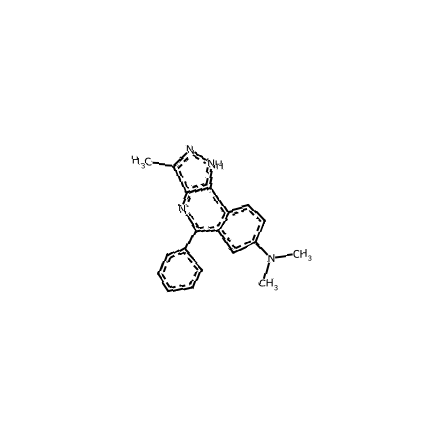 Cc1n[nH]c2c1nc(-c1ccccc1)c1cc(N(C)C)ccc12